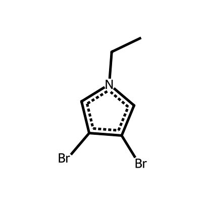 CCn1cc(Br)c(Br)c1